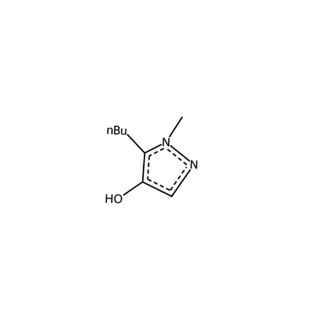 CCCCc1c(O)cnn1C